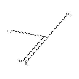 CCCCCCCCCCCCCCCCN(CCCCCCCCCCCCCCCC)CN(CCCCCCCCCCCCCCCC)CCCCCCCCCCCCCCCC